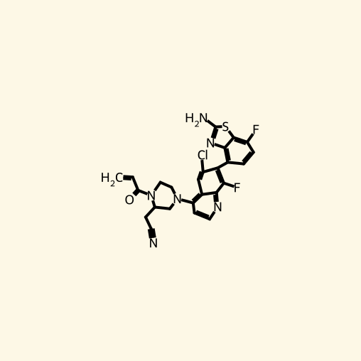 C=CC(=O)N1CCN(c2ccnc3c(F)c(-c4ccc(F)c5sc(N)nc45)c(Cl)cc23)CC1CC#N